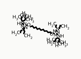 C=CCN(CC=C)c1nc(NC2CC(C)(C)NC(C)(C)C2)nc(OCCCCCCCCCCCCOc2nc(NC3CC(C)(C)NC(C)(C)C3)nc(N(CC=C)CC=C)n2)n1